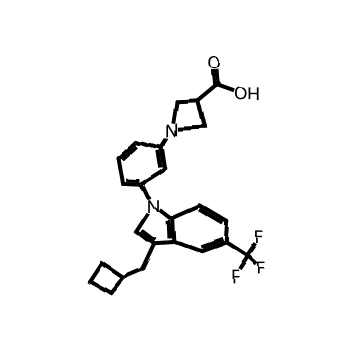 O=C(O)C1CN(c2cccc(-n3cc(CC4CCC4)c4cc(C(F)(F)F)ccc43)c2)C1